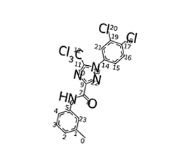 Cc1cccc(NC(=O)c2nc(C(Cl)(Cl)Cl)n(-c3ccc(Cl)c(Cl)c3)n2)c1